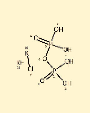 O=P(O)(O)OP(=O)(O)O.[Cl][K].[KH]